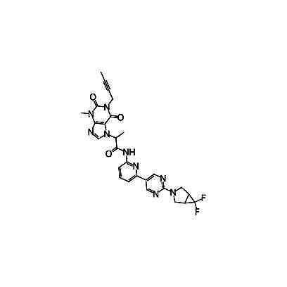 CC#CCn1c(=O)c2c(ncn2C(C)C(=O)Nc2cccc(-c3cnc(N4CC5C(C4)C5(F)F)nc3)n2)n(C)c1=O